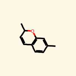 Cc1ccc2c(c1)OC(C)C=C2